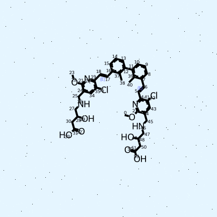 COc1nc(/C=C/c2cccc(-c3cccc(/C=C/c4nc(OC)c(CNCC(O)CC(=O)O)cc4Cl)c3C)c2C)c(Cl)cc1CNCC(O)CC(=O)O